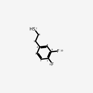 Fc1ccc(CCS)cc1F